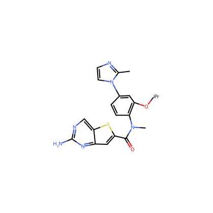 Cc1nccn1-c1ccc(N(C)C(=O)c2cc3nc(N)ncc3s2)c(OC(C)C)c1